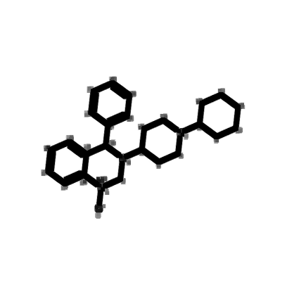 [O-][NH+]1CN(C2CCN(C3CCCCC3)CC2)C(c2ccccc2)c2ccccc21